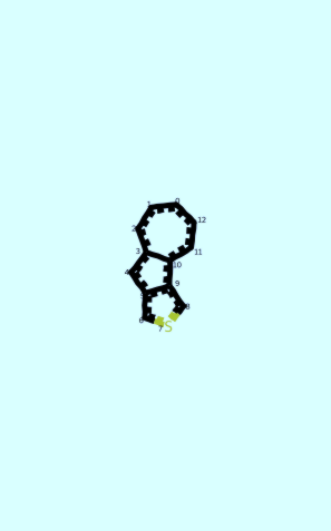 c1ccc2cc3cscc3c-2cc1